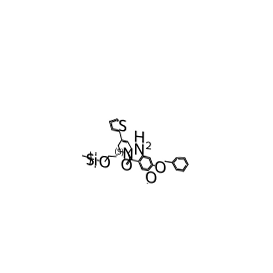 COc1cc(C(=O)N2CC=C(c3cccs3)C[C@H]2CCO[Si](C)(C)C(C)(C)C)c(N)cc1OCc1ccccc1